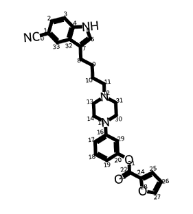 N#Cc1ccc2[nH]cc(CCCCN3CCN(c4cccc(OC(=O)c5ccco5)c4)CC3)c2c1